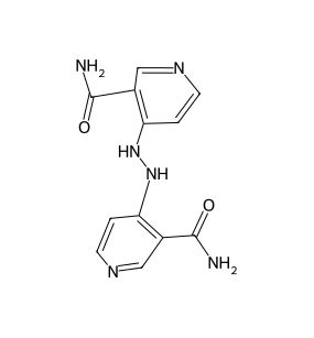 NC(=O)c1cnccc1NNc1ccncc1C(N)=O